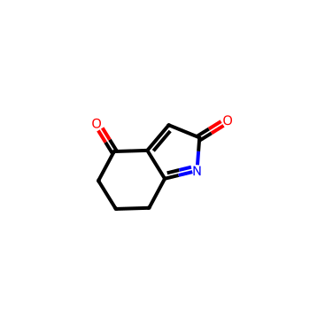 O=C1C=C2C(=O)CCCC2=N1